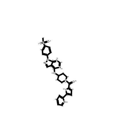 CS(=O)(=O)c1ccc(-n2ncc3c(OC4CCN(C(=O)c5ccc(-c6ccccn6)s5)CC4)ncnc32)cc1